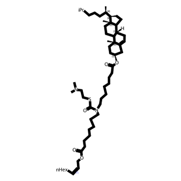 CCCCCC/C=C\COC(=O)CCCCCCCN(CCCCCCCC(=O)O[C@H]1CC[C@@]2(C)C(=CC[C@@H]3C2CC[C@@]2(C)C3CC[C@@H]2[C@H](C)CCCC(C)C)C1)C(=O)SCCN(C)C